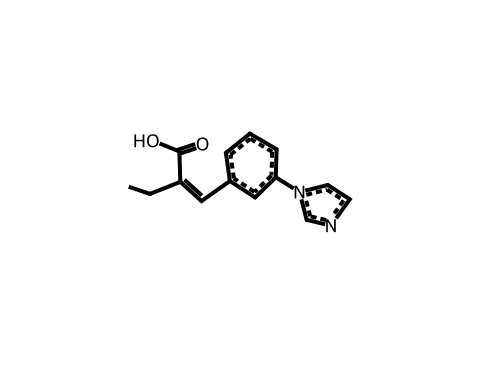 CCC(=Cc1cccc(-n2ccnc2)c1)C(=O)O